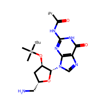 CC(C)C(=O)Nc1nc2c(ncn2[C@@H]2O[C@H](CN)C[C@H]2O[Si](C)(C)C(C)(C)C)c(=O)[nH]1